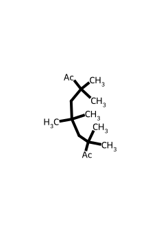 CC(=O)C(C)(C)CC(C)(C)CC(C)(C)C(C)=O